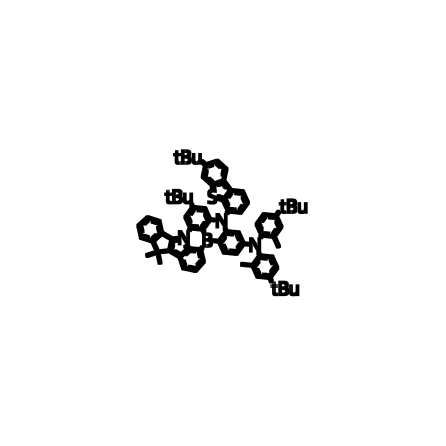 Cc1cc(C(C)(C)C)ccc1N(c1ccc2c(c1)N(c1cccc3c1sc1cc(C(C)(C)C)ccc13)c1cc(C(C)(C)C)cc3c1B2c1cccc2c4c(n-3c12)-c1ccccc1C4(C)C)c1ccc(C(C)(C)C)cc1C